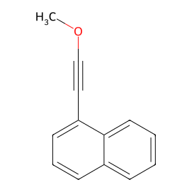 COC#Cc1cccc2ccccc12